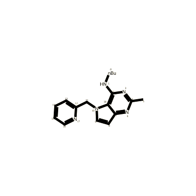 CCCCNc1nc(C)nc2ccn(Cc3ccccn3)c12